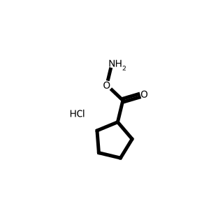 Cl.NOC(=O)C1CCCC1